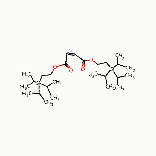 CC(C)[Si](CCOC(=O)/C=C\C(=O)OCC[Si](C(C)C)(C(C)C)C(C)C)(C(C)C)C(C)C